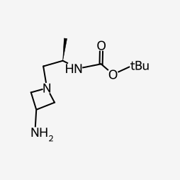 C[C@H](CN1CC(N)C1)NC(=O)OC(C)(C)C